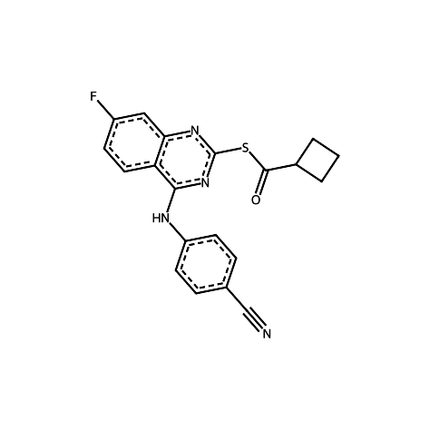 N#Cc1ccc(Nc2nc(SC(=O)C3CCC3)nc3cc(F)ccc23)cc1